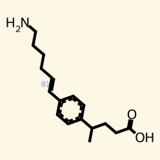 CC(CCC(=O)O)c1ccc(/C=C/CCCCN)cc1